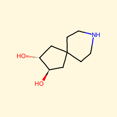 O[C@@H]1CC2(CCNCC2)C[C@H]1O